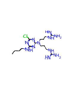 CCCCNc1nc(Cl)nc(N(CCCNC(=N)N)CCCNC(=N)N)n1